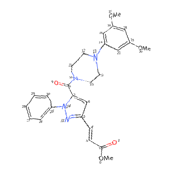 COC(=O)C=Cc1cc(C(=O)N2CCN(c3cc(OC)cc(OC)c3)CC2)n(-c2ccccc2)n1